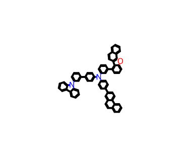 c1cc(-c2cccc3oc4c5ccccc5ccc4c23)cc(N(c2ccc(-c3cccc(-n4c5ccccc5c5ccccc54)c3)cc2)c2ccc(-c3ccc4c(ccc5ccccc54)c3)cc2)c1